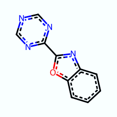 c1ccc2oc(-c3ncncn3)nc2c1